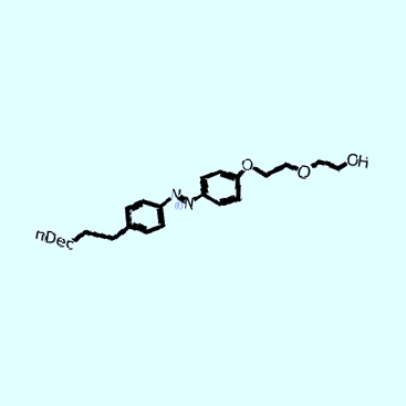 CCCCCCCCCCCCc1ccc(/N=N/c2ccc(OCCOCCO)cc2)cc1